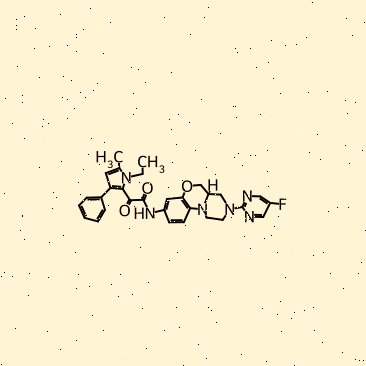 CCn1c(C)cc(-c2ccccc2)c1C(=O)C(=O)Nc1ccc2c(c1)OC[C@H]1CN(c3ncc(F)cn3)CCN21